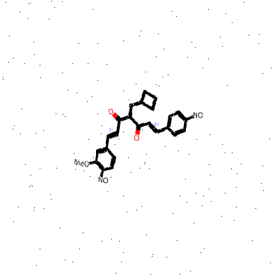 COc1cc(/C=C/C(=O)C(CC2CCC2)C(=O)/C=C/c2ccc(N=O)cc2)ccc1N=O